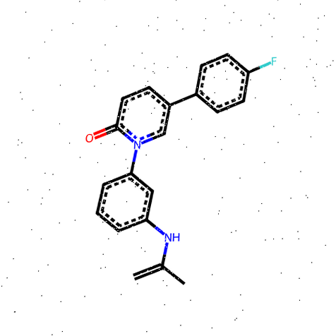 C=C(C)Nc1cccc(-n2cc(-c3ccc(F)cc3)ccc2=O)c1